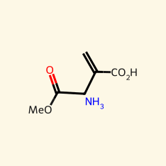 C=C(CC(=O)OC)C(=O)O.N